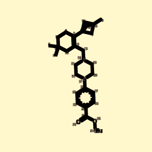 CC1(C)CCC(C23CC(C)(C2)C3)=C(CN2CCN(c3ccc(C(=O)OC(C)(C)C)cc3)CC2)C1